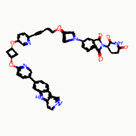 O=C1CCC(N2C(=O)c3ccc(N4CC(OCCC#Cc5ccc(O[C@H]6C[C@H](Oc7ccc(-c8ccc9c(c8)[nH]c8ccncc89)cn7)C6)cn5)C4)cc3C2=O)C(=O)N1